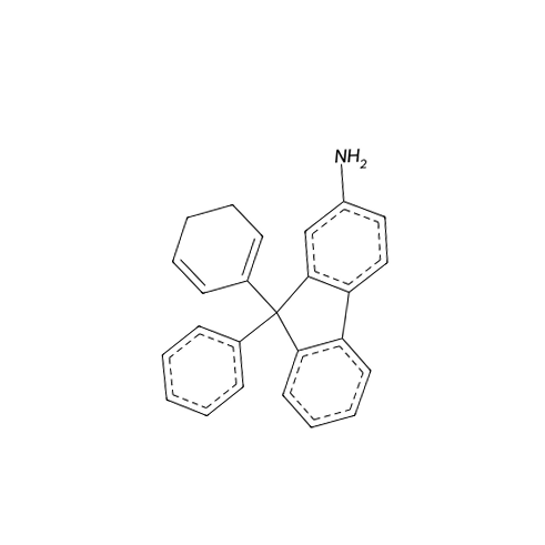 Nc1ccc2c(c1)C(C1=CCCC=C1)(c1ccccc1)c1ccccc1-2